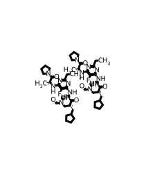 CCc1nc(NNC(=O)[C@H](CC2CCCC2)CN(O)C=O)c(F)c(N[C@H](C)C(=O)N2CCCC2)n1.CCc1nc(NNC(=O)[C@H](CC2CCCC2)CN(O)C=O)c(F)c(N[C@H](C)C(=O)N2CCCC2)n1